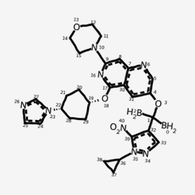 BC(B)(Oc1cnc2cc(N3CCOCC3)nc(O[C@H]3CC[C@@H](n4ccnc4)CC3)c2c1)c1cnn(C2CC2)c1[N+](=O)[O-]